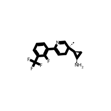 C[C@@]1([C@H]2C[C@@H]2N)C=NC(c2cccc(C(F)(F)F)c2F)=CC1